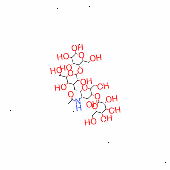 CC(=O)NC1[C@H](C[C@@H]2C(O)[C@H](O[C@@H]3C(CO)OC(O)C(O)[C@H]3O)OC(CO)[C@@H]2O)OC(CO)[C@@H](O[C@@H]2OC(CO)[C@H](O)[C@H](O)C2O)[C@@H]1O